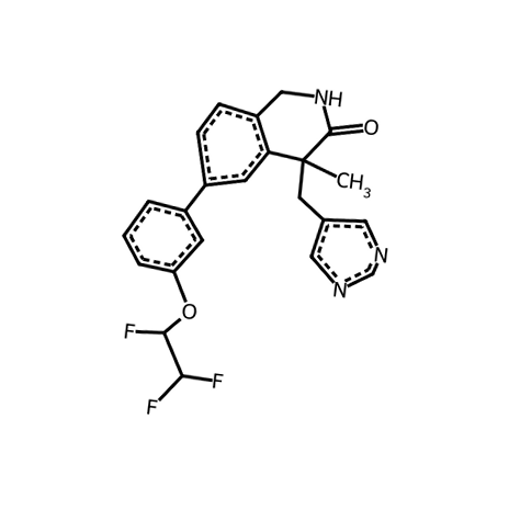 CC1(Cc2cncnc2)C(=O)NCc2ccc(-c3cccc(OC(F)C(F)F)c3)cc21